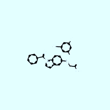 O=C(O)CN(Sc1cc(Cl)cc(Cl)c1)c1ccc2c(ccn2C(=O)c2ccccc2)c1